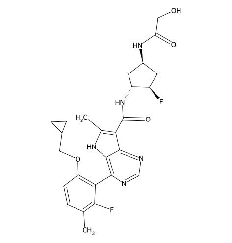 Cc1ccc(OCC2CC2)c(-c2ncnc3c(C(=O)N[C@@H]4C[C@@H](NC(=O)CO)C[C@H]4F)c(C)[nH]c23)c1F